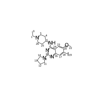 CCN1CCC(Nc2nc(N3CCCC3)nc3cc(I)c(OC)cc23)CC1